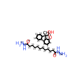 CC(C(=O)O)(c1ccccc1)c1ccccc1.NNC(=O)CCCCCCCCCCC(=O)NN